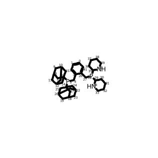 c1ccc(CP(C23CC4CC(CC(C4)C2)C3)C23CC4CC(CC(C4)C2)C3)c(CP(C2CCCCN2)C2CCCCN2)c1